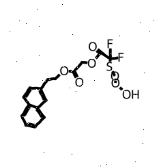 O=C(COC(=O)C(F)(F)SOOO)OCCc1ccc2ccccc2c1